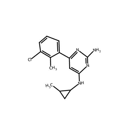 Cc1c(Cl)cccc1-c1cc(NC2CC2C)nc(N)n1